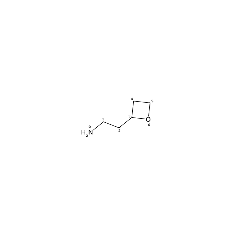 NC[CH]C1CCO1